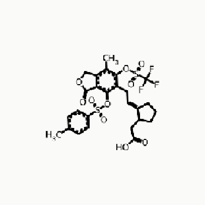 Cc1ccc(S(=O)(=O)Oc2c(CC=C3CCCC3CC(=O)O)c(OS(=O)(=O)C(F)(F)F)c(C)c3c2C(=O)OC3)cc1